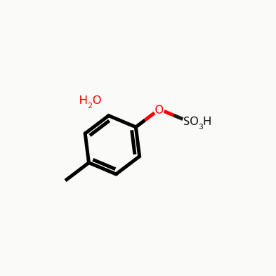 Cc1ccc(OS(=O)(=O)O)cc1.O